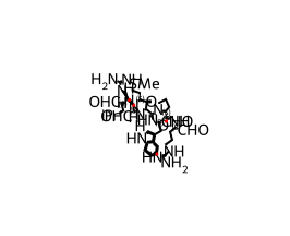 CSCC[C@H](NN[C@H](C=O)CC(C)C)C(=O)C(N[C@H](C=O)CCCNC(=N)N)C(N[C@H](C=O)Cc1c[nH]c2ccccc12)N1CCC[C@H]1C(=O)N[C@H](C=O)CCCNC(=N)N